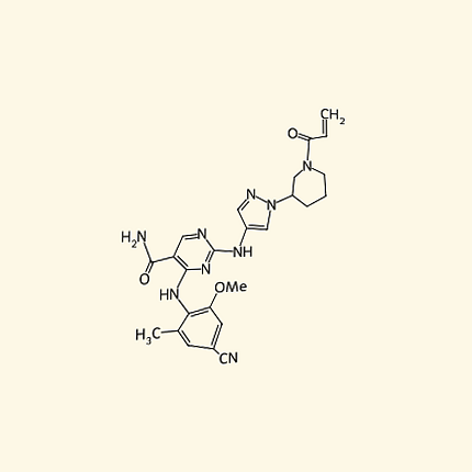 C=CC(=O)N1CCCC(n2cc(Nc3ncc(C(N)=O)c(Nc4c(C)cc(C#N)cc4OC)n3)cn2)C1